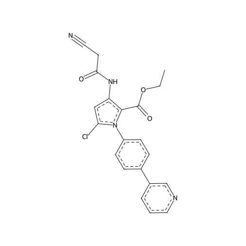 CCOC(=O)c1c(NC(=O)CC#N)cc(Cl)n1-c1ccc(-c2cccnc2)cc1